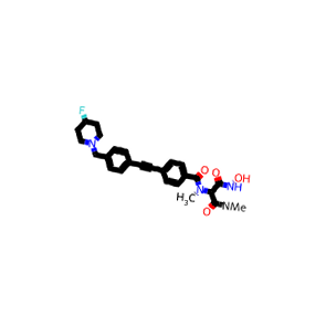 CNC(=O)C(C(=O)NO)N(C)C(=O)c1ccc(C#Cc2ccc(CN3CCC(F)CC3)cc2)cc1